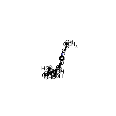 CP(=O)(O)OCCO/N=C/c1ccc(OCCOP(=O)(O)CN(CCN(CP(=O)(O)O)CP(=O)(O)O)CP(=O)(O)O)cc1